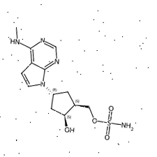 CNc1ncnc2c1ccn2[C@@H]1C[C@@H](COS(N)(=O)=O)[C@@H](O)C1